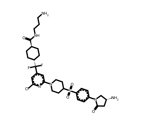 NCCCNC(=O)[C@H]1CC[C@H](C(F)(F)c2cc(Cl)nc(N3CCC(S(=O)(=O)c4ccc(N5C[C@H](N)CC5=O)cc4)CC3)c2)CC1